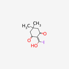 CC1(C)CC(=O)C(=C(O)I)C(=O)C1